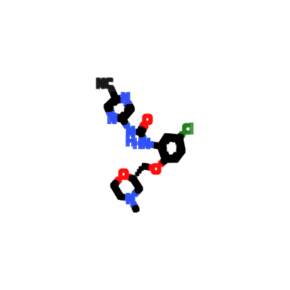 CN1CCO[C@H](COc2ccc(Cl)cc2NC(=O)Nc2cnc(C#N)cn2)C1